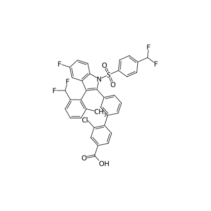 Cc1cccc(C(F)F)c1-c1c(-c2cccc(-c3ccc(C(=O)O)cc3Cl)c2)n(S(=O)(=O)c2ccc(C(F)F)cc2)c2ccc(F)cc12